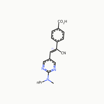 CCCN(C)c1ncc(/C=C(\C#N)c2ccc(C(=O)O)cc2)cn1